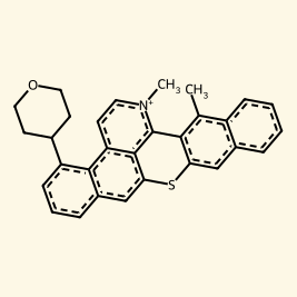 Cc1c2c(cc3ccccc13)Sc1cc3cccc(C4CCOCC4)c3c3cc[n+](C)c-2c13